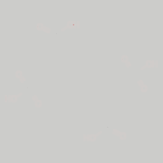 O=C(O)c1cc(-c2cc(C(=O)O)cc(S(=O)(=O)O)c2)cc(S(=O)(=O)O)c1